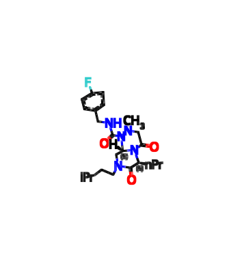 CCC[C@H]1C(=O)N(CCC(C)C)C[C@H]2N1C(=O)CN(C)N2C(=O)NCc1ccc(F)cc1